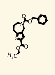 CCOC(=O)c1cc2c(s1)CCCN(C(=O)OCc1ccccc1)C2